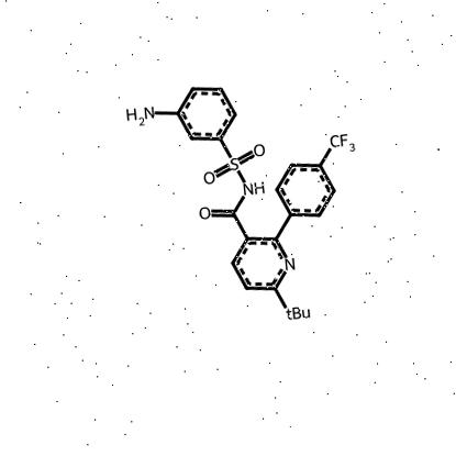 CC(C)(C)c1ccc(C(=O)NS(=O)(=O)c2cccc(N)c2)c(-c2ccc(C(F)(F)F)cc2)n1